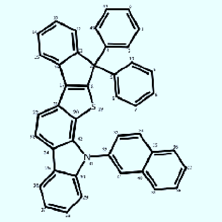 c1ccc(C2(c3ccccc3)c3ccccc3-c3c2sc2c3ccc3c4ccccc4n(-c4ccc5ccccc5c4)c32)cc1